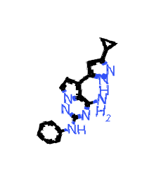 Nc1nc(Nc2ccccc2)nn2ccc(-c3cc(C4CC4)n[nH]3)c12